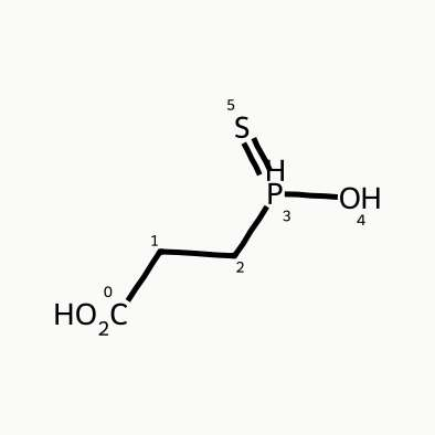 O=C(O)CC[PH](O)=S